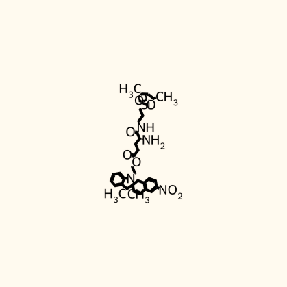 CC1O[Si]2(CCCNC(=O)[C@H](N)CCC(=O)OCCN3c4ccccc4C(C)(C)C34C=Cc3cc([N+](=O)[O-])ccc3C4)OC(C)C1O2